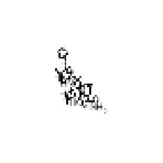 CC[C@H](NC(=O)N[C@H](C(=O)N1C[C@H]2[C@@H]([C@H]1C(=O)NC(CC1CC1)C(=O)C(N)=O)C2(C)C)C(C)(C)C)C(=O)OCc1ccccc1